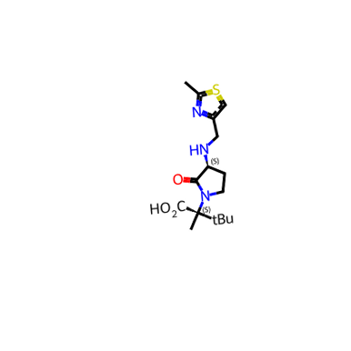 Cc1nc(CN[C@H]2CCN([C@](C)(C(=O)O)C(C)(C)C)C2=O)cs1